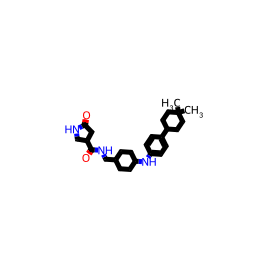 CC1(C)CCC(c2ccc(NC3CCC(CNC(=O)C4CNC(=O)C4)CC3)cc2)CC1